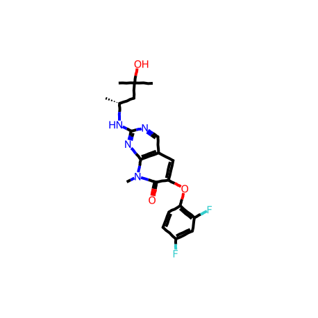 C[C@H](CC(C)(C)O)Nc1ncc2cc(Oc3ccc(F)cc3F)c(=O)n(C)c2n1